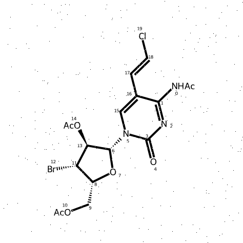 CC(=O)Nc1nc(=O)n([C@@H]2O[C@H](COC(C)=O)[C@H](Br)[C@H]2OC(C)=O)cc1/C=C/Cl